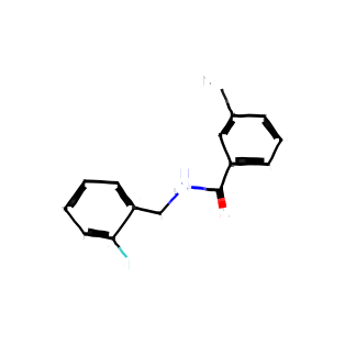 N#Cc1cccc(C(=O)NCc2cc[c]cc2F)c1